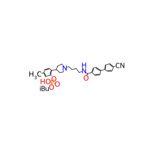 CCC(C)OP(=O)(O)Oc1cc(C)ccc1C1CCN(CCCCNC(=O)c2ccc(-c3ccc(C#N)cc3)cc2)CC1